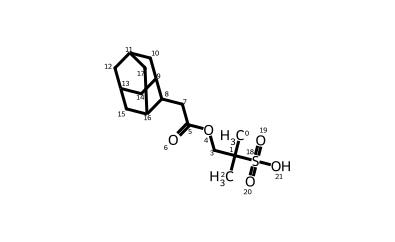 CC(C)(COC(=O)CC1C2CC3CC(C2)CC1C3)S(=O)(=O)O